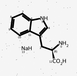 N[C@H](Cc1c[nH]c2ccccc12)C(=O)O.[NaH]